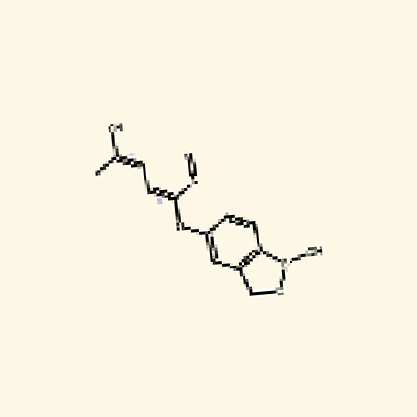 C=N/C(=C\C=C(/C)C#N)Oc1ccc2c(c1)COB2O